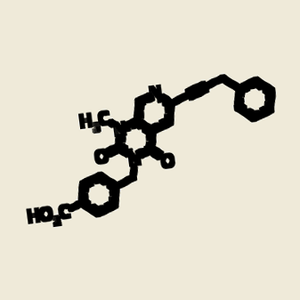 Cn1c(=O)n(Cc2ccc(C(=O)O)cc2)c(=O)c2cc(C#CCc3ccccc3)ncc21